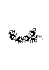 COC1CCN(Cc2cnc(N3CCC(n4c(=O)c(=O)n(C)c5cc(Cl)cnc54)CC3)nc2)CC1